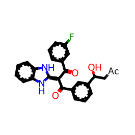 CC(=O)CC(O)c1cccc(C(=O)C(C(=O)c2cccc(F)c2)=C2Nc3ccccc3N2)c1